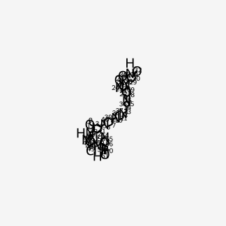 COc1cc(N2CCC(N3CCN(CC4CN(c5ccc6c(c5)n(C)c(=O)n6C5CCC(=O)NC5=O)C4)CC3)CC2)ccc1Nc1ncc(Cl)c(Nc2cnccc2P(C)(C)=O)n1